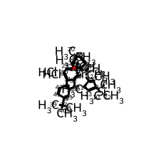 Cl.Cl.[CH2]=[Zr]([CH3])([C]1=C(C)C([Si](C)(C)C)=CC1C)([c]1ccc(C)cc1)[c]1c(C(C)(C)C)ccc2c1Cc1cc(C(C)(C)C)ccc1-2